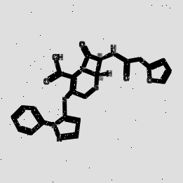 O=C(Cc1ccco1)N[C@@H]1C(=O)N2C(C(=O)O)=C(Sc3ccnn3-c3ccccc3)CS[C@@H]12